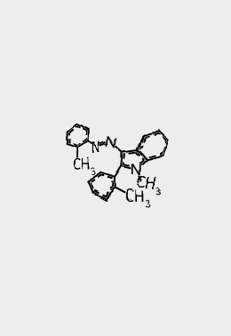 Cc1ccccc1N=Nc1c(-c2ccccc2C)n(C)c2ccccc12